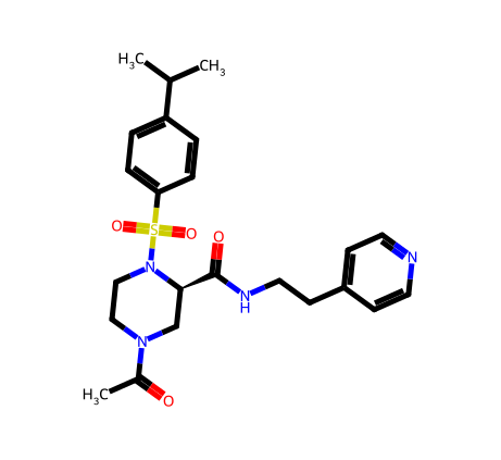 CC(=O)N1CCN(S(=O)(=O)c2ccc(C(C)C)cc2)[C@@H](C(=O)NCCc2ccncc2)C1